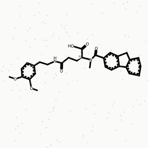 COc1ccc(CCNC(=O)CC[C@@H](C(=O)O)N(C)C(=O)c2ccc3c(c2)Cc2ccccc2-3)cc1OC